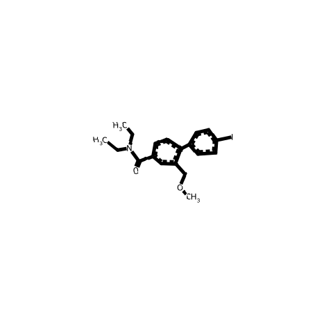 CCN(CC)C(=O)c1ccc(-c2ccc(I)cc2)c(COC)c1